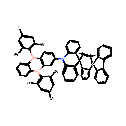 CC(C)c1cc(C(C)C)c(B2c3ccccc3B(c3c(C(C)C)cc(C(C)C)cc3C(C)C)c3cc(N4c5ccccc5C5(c6ccccc64)c4ccccc4[Si]4(c6ccccc6-c6ccccc64)c4ccccc45)ccc32)c(C(C)C)c1